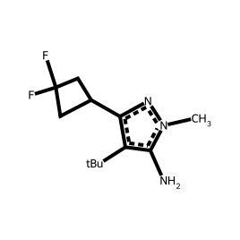 Cn1nc(C2CC(F)(F)C2)c(C(C)(C)C)c1N